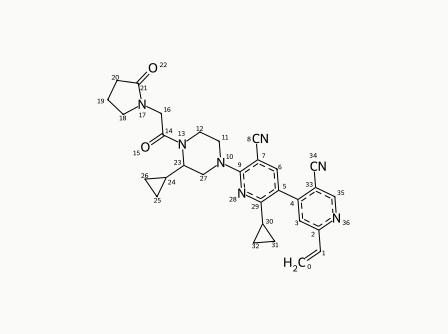 C=Cc1cc(-c2cc(C#N)c(N3CCN(C(=O)CN4CCCC4=O)C(C4CC4)C3)nc2C2CC2)c(C#N)cn1